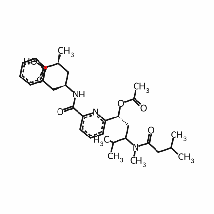 CC(=O)O[C@H](CC(C(C)C)N(C)C(=O)CC(C)C)c1cccc(C(=O)N[C@@H](Cc2ccccc2)C[C@H](C)C(=O)O)n1